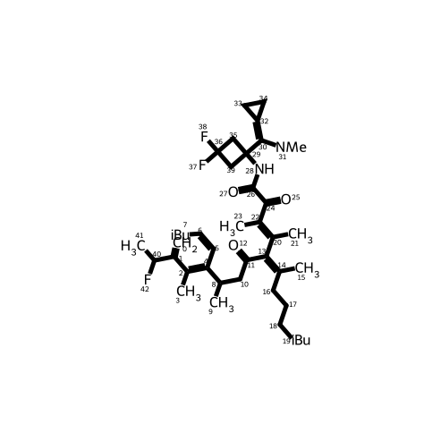 C=C(/C(C)=C(\C=C/C(C)CC)C(C)CC(=O)C(=C(/C)CCCC(C)CC)/C(C)=C(\C)C(=O)C(=O)NC1(C(NC)=C2CC2)CC(F)(F)C1)C(C)F